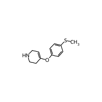 CSc1ccc(OC2=CCNCC2)cc1